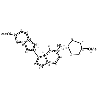 COc1ccc2[nH]c(-c3cnc4ccc(N[C@H]5CC[C@H](OC)CC5)nn34)cc2c1